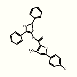 O=C(NC1=C(c2ccccc2)NC(c2ccccc2)S1)c1oc(-c2ccc(Cl)cc2)cc1C(F)(F)F